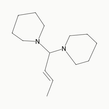 CC=CC(N1CCCCC1)N1CCCCC1